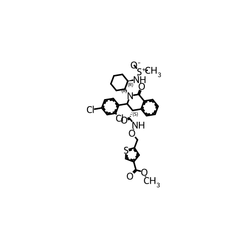 COC(=O)c1csc(CONC(=O)[C@H]2c3ccccc3C(=O)N([C@@H]3CCCC[C@H]3N[S+](C)[O-])C2c2ccc(Cl)cc2Cl)c1